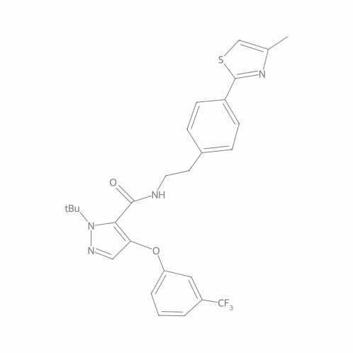 Cc1csc(-c2ccc(CCNC(=O)c3c(Oc4cccc(C(F)(F)F)c4)cnn3C(C)(C)C)cc2)n1